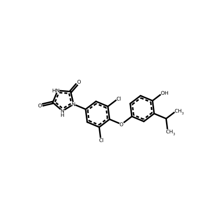 CC(C)c1cc(Oc2c(Cl)cc(-n3[nH]c(=O)[nH]c3=O)cc2Cl)ccc1O